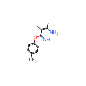 C/C(N)=C(\C)C(=N)Oc1ccc(C(F)(F)F)cc1